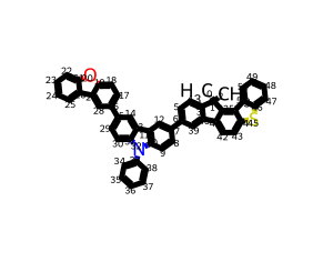 CC1(C)c2ccc(-c3ccc4c(c3)c3cc(-c5ccc6oc7ccccc7c6c5)ccc3n4-c3ccccc3)cc2-c2ccc3sc4ccccc4c3c21